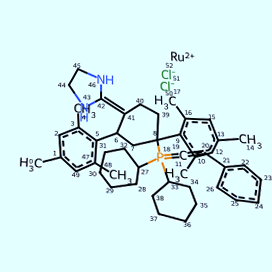 Cc1cc(C)c(C2CC(c3c(C)cc(C)cc3C)(P(=C=Cc3ccccc3)(C3CCCCC3)C3CCCCC3)CCC2=C2NCCN2)c(C)c1.[Cl-].[Cl-].[Ru+2]